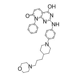 O=c1ccc2c(O)nc(Nc3ccc(N4CCC(CCCN5CCOCC5)CC4)cc3)nc2n1-c1ccccc1